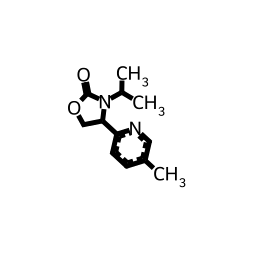 Cc1ccc(C2COC(=O)N2C(C)C)nc1